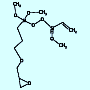 C=C[SiH](OC)OO[Si](CCCOCC1CO1)(OC)OC